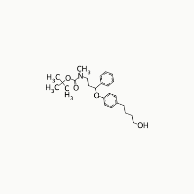 CN(CCC(Oc1ccc(CCCCO)cc1)c1ccccc1)C(=O)OC(C)(C)C